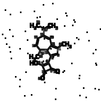 Cc1cc(-c2c(O)c(=O)c2=O)c2c(C)ccc(C(C)C)cc1-2